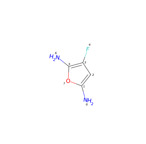 Nc1cc(F)c(N)o1